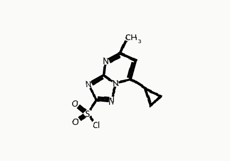 Cc1cc(C2CC2)n2nc(S(=O)(=O)Cl)nc2n1